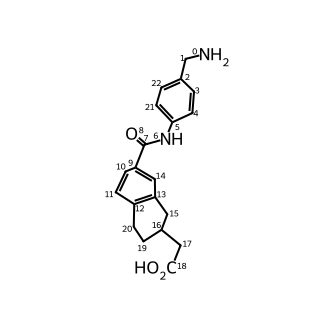 NCc1ccc(NC(=O)c2ccc3c(c2)CC(CC(=O)O)CC3)cc1